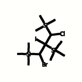 C[Si](C)(C)C(Cl)C(I)(C(Br)[Si](C)(C)C)[Si](C)(C)C